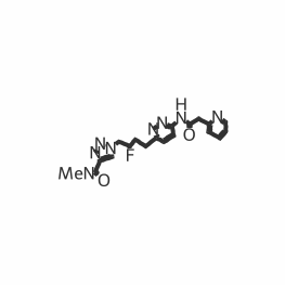 CNC(=O)c1cn(CC(F)CCc2ccc(NC(=O)Cc3ccccn3)nn2)nn1